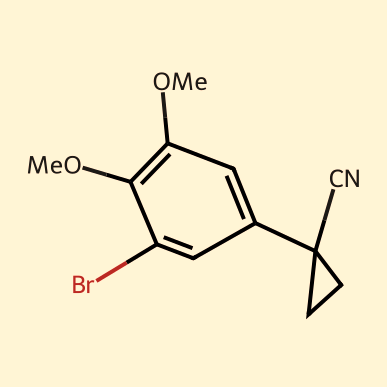 COc1cc(C2(C#N)CC2)cc(Br)c1OC